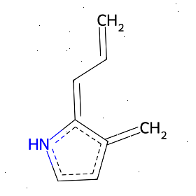 C=C/C=c1/[nH]ccc1=C